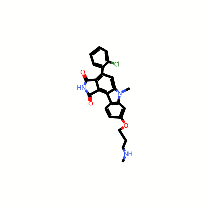 CNCCCOc1ccc2c3c4c(c(-c5ccccc5Cl)cc3n(C)c2c1)C(=O)NC4=O